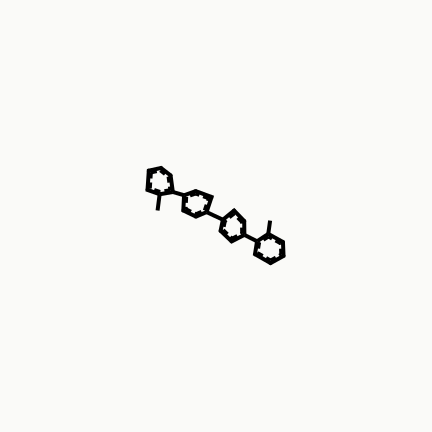 Cc1ccccc1-c1ccc(-c2ccc(-c3ccccc3C)cc2)cc1